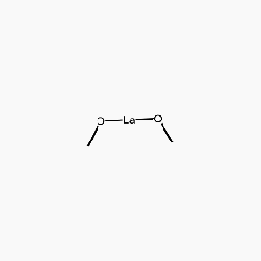 C[O][La][O]C